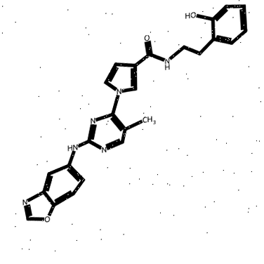 Cc1cnc(Nc2ccc3ocnc3c2)nc1-n1ccc(C(=O)NCCc2ccccc2O)c1